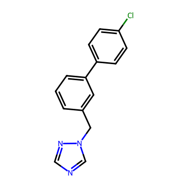 Clc1ccc(-c2cccc(Cn3cncn3)c2)cc1